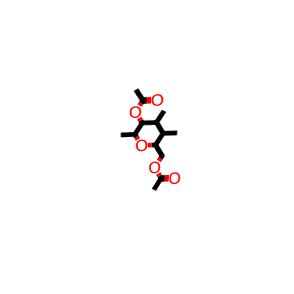 CC(=O)OCC1OC(C)C(OC(C)=O)C(C)C1C